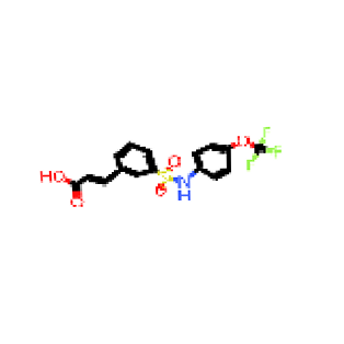 O=C(O)/C=C/c1cccc(S(=O)(=O)Nc2ccc(OC(F)(F)F)cc2)c1